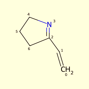 C=CC1=NCCC1